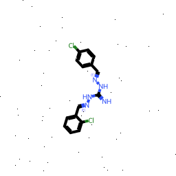 N=C(N/N=C/c1ccc(Cl)cc1)N/N=C/c1ccccc1Cl